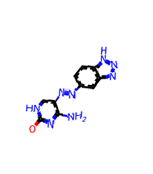 Nc1nc(=O)[nH]cc1/N=N/c1ccc2[nH]nnc2c1